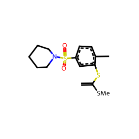 C=C(SC)Sc1cc(S(=O)(=O)N2CCCCC2)ccc1C